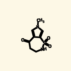 Cn1cc2c(c1)S(=O)(=O)NCCC2=O